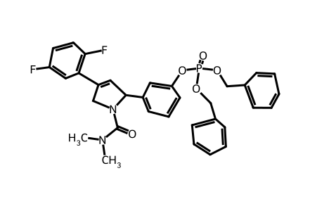 CN(C)C(=O)N1CC(c2cc(F)ccc2F)=CC1c1cccc(OP(=O)(OCc2ccccc2)OCc2ccccc2)c1